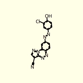 N#Cc1cnn2c1nnc1ccc(/N=N/c3ccc(O)c(Cl)c3)cc12